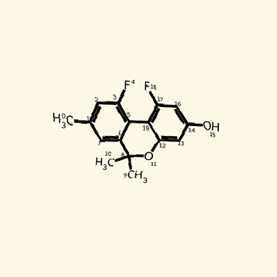 Cc1cc(F)c2c(c1)C(C)(C)Oc1cc(O)cc(F)c1-2